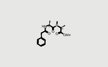 COC(=O)[C@H](C)N(C)C(=O)[C@H](C)NC(=O)Cc1ccccc1